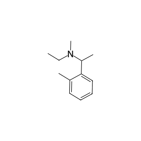 CCN(C)C(C)c1ccccc1C